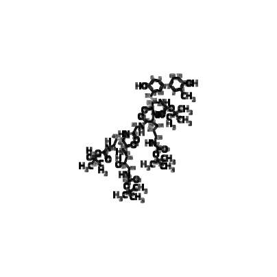 Cc1cc(-c2ccc(O)c(C[C@H](NC(=O)OC(C)(C)C)C(=O)N[C@@H](CCCNC(=O)OC(C)(C)C)C(=O)NCC(=O)N[C@@H](CCNC(=O)OC(C)(C)C)C(=O)NCC(O)CNC(=O)OC(C)(C)C)c2)ccc1O